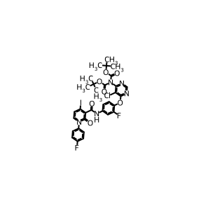 CC(C)(C)OC(=O)N(C(=O)OC(C)(C)C)c1ncnc(Oc2ccc(NC(=O)c3c(I)ccn(-c4ccc(F)cc4)c3=O)cc2F)c1Cl